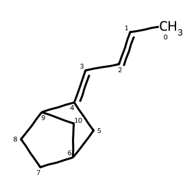 CC=CC=C1CC2CCC1C2